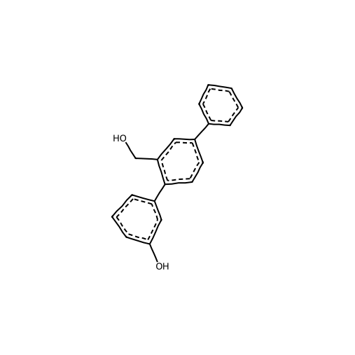 OCc1cc(-c2ccccc2)ccc1-c1cccc(O)c1